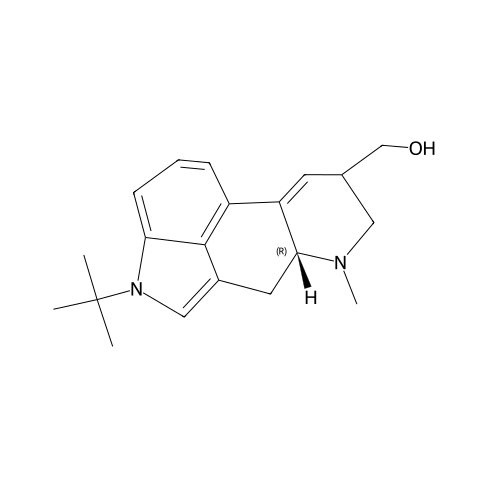 CN1CC(CO)C=C2c3cccc4c3c(cn4C(C)(C)C)C[C@H]21